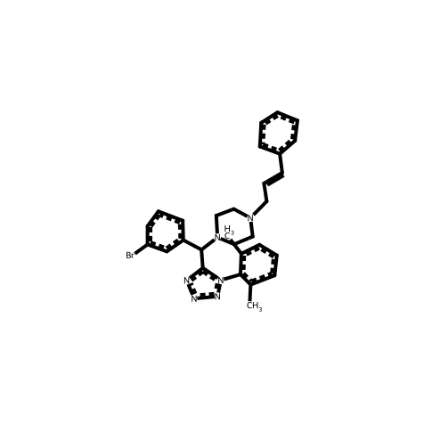 Cc1cccc(C)c1-n1nnnc1C(c1cccc(Br)c1)N1CCN(CC=Cc2ccccc2)CC1